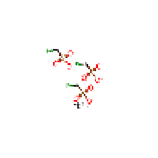 O=S(=O)([O-])CF.O=S(=O)([O-])CF.O=S(=O)([O-])CF.[Yb+3]